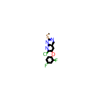 CSc1ncc2cc(Oc3ccc(F)cc3F)c(Cl)nc2n1